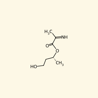 CC(=N)C(=O)O[C@H](C)CCO